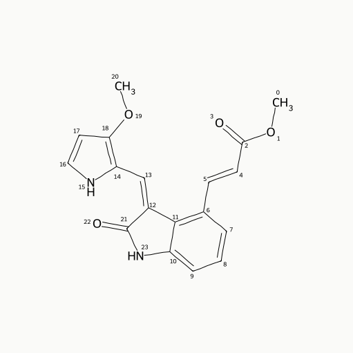 COC(=O)/C=C/c1cccc2c1/C(=C/c1[nH]ccc1OC)C(=O)N2